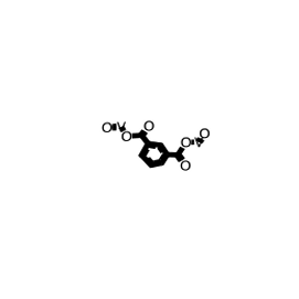 [O]=[V][O]C(=O)c1cccc(C(=O)[O][V]=[O])c1